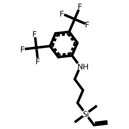 C=C[Si](C)(C)CCCNc1cc(C(F)(F)F)cc(C(F)(F)F)c1